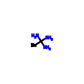 N[C](N)(N)[Sn]